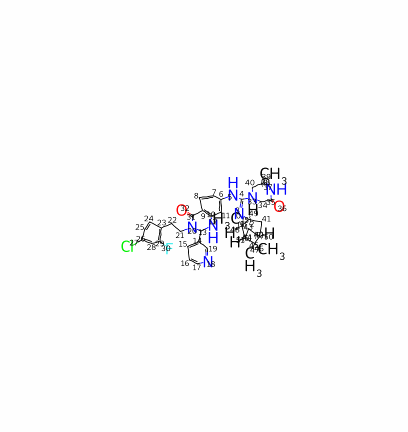 C[C@@H]1[C@@H](N=C(Nc2ccc3c(c2)NC(c2cccnc2)N(CCc2ccc(Cl)cc2F)C3=O)N2CC(=O)N[C@@H](C)C2)C[C@H]2C[C@@H]1C2(C)C